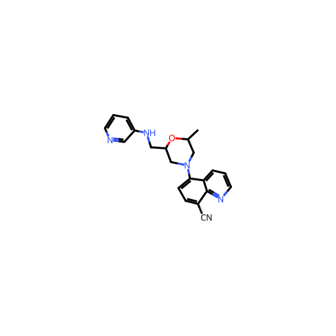 CC1CN(c2ccc(C#N)c3ncccc23)CC(CNc2cccnc2)O1